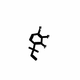 C=CC(C)(C)c1ccc(F)c(F)c1F